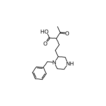 CC(=O)C(CCC1CNCCN1Cc1ccccc1)C(=O)O